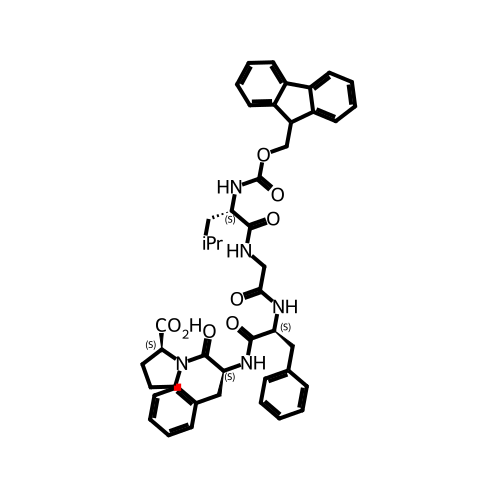 CC(C)C[C@H](NC(=O)OCC1c2ccccc2-c2ccccc21)C(=O)NCC(=O)N[C@@H](Cc1ccccc1)C(=O)N[C@@H](Cc1ccccc1)C(=O)N1CCC[C@H]1C(=O)O